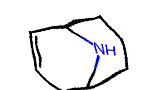 C1=C[C]2CCCC(C1)N2